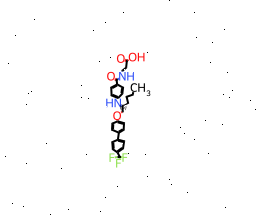 CCCC[C@@H](COc1ccc(-c2ccc(C(F)(F)F)cc2)cc1)Nc1ccc(C(=O)NCCC(=O)O)cc1